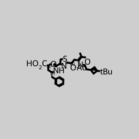 CC(=O)O[C@H](CC(=C(C)C)N(C)C(=O)CC12CC(C(C)(C)C)(C1)C2)C1=NC(C(=O)N[C@@H](Cc2ccccc2)C[C@H](C)C(=O)O)CS1